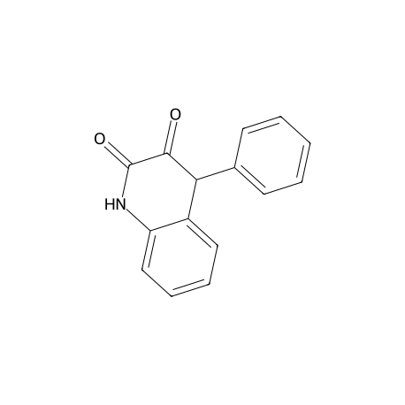 O=C1Nc2ccccc2C(c2ccccc2)C1=O